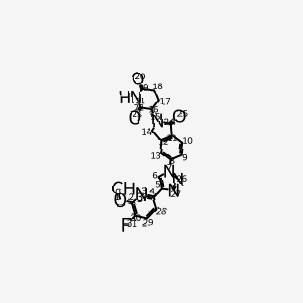 COc1nc(-c2cn(-c3ccc4c(c3)CN(C3CCC(=O)NC3=O)C4=O)nn2)ccc1F